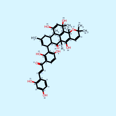 CC1=CC(c2c(O)ccc(C(=O)/C=C/c3ccc(O)cc3O)c2O)C2C(=O)C3(C)C(O)=C4C=CC(C)(C)OC4(C)C4=C3C(C)(C(O)=CC4(C)O)C2C1